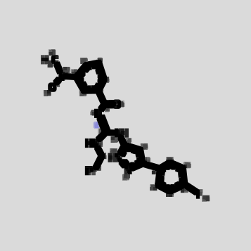 CC(C)CN/C(=N/C(=O)c1cccc([S+](C)[O-])c1)Nc1cc(-c2ccc(F)cc2)n[nH]1